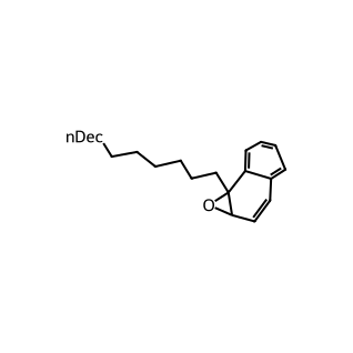 CCCCCCCCCCCCCCCCC12OC1C=Cc1ccccc12